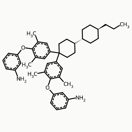 CCC[C@H]1CC[C@H](C2CCC(c3cc(C)c(Oc4cccc(N)c4)c(C)c3)(c3cc(C)c(Oc4cccc(N)c4)c(C)c3)CC2)CC1